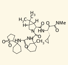 CNC(=O)C(=O)[C@H](CC1CC1)NC(=O)[C@@H]1[C@@H]2[C@H](CN1C(=O)[C@@H](NC(=O)NC1(C3CCCS3(=O)=O)CCCCC1)C1(C)CCCCC1)C2(C)C